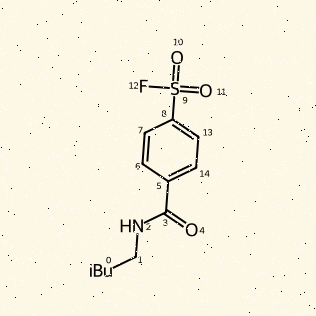 CCC(C)CNC(=O)c1ccc(S(=O)(=O)F)cc1